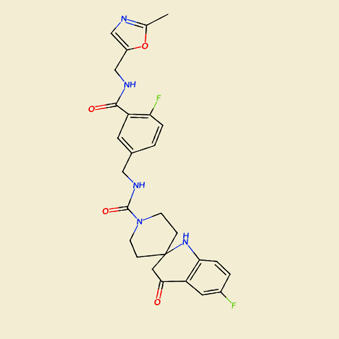 Cc1ncc(CNC(=O)c2cc(CNC(=O)N3CCC4(CC3)CC(=O)c3cc(F)ccc3N4)ccc2F)o1